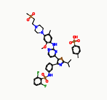 COc1cc(N2CCN(CCS(C)(=O)=O)CC2)c(C)cc1Nc1nccc(-c2sc(C(C)C)nc2-c2cccc(NS(=O)(=O)c3c(F)cccc3F)c2)n1.Cc1ccc(S(=O)(=O)O)cc1